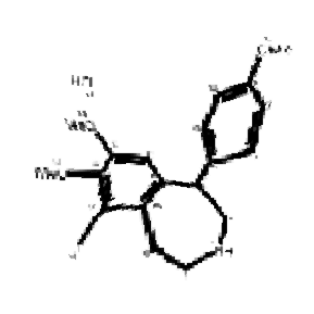 COc1ccc(C2CNCCc3c2cc(OC)c(OC)c3I)cc1.Cl